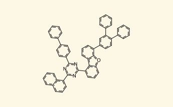 c1ccc(-c2ccc(-c3nc(-c4cccc5ccccc45)nc(-c4cccc5oc6c(-c7ccc(-c8ccccc8)c(-c8ccccc8)c7)cccc6c45)n3)cc2)cc1